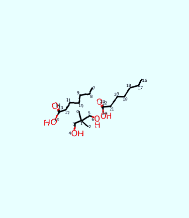 CC(C)(CO)CO.CCCCCCC(=O)O.CCCCCCC(=O)O